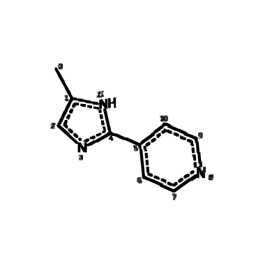 Cc1cnc(-c2ccncc2)[nH]1